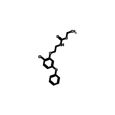 CCOC(=O)NCCOc1cc(Oc2ccccc2)ccc1Cl